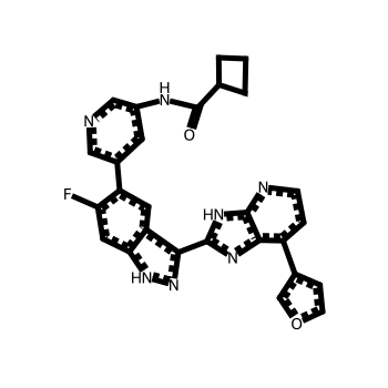 O=C(Nc1cncc(-c2cc3c(-c4nc5c(-c6ccoc6)ccnc5[nH]4)n[nH]c3cc2F)c1)C1CCC1